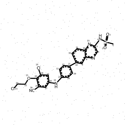 CS(=O)(=O)Nc1cnc2cc(-c3ccc(Nc4cc(Cl)c(OCCCl)c(C#N)c4)cc3)ccc2n1